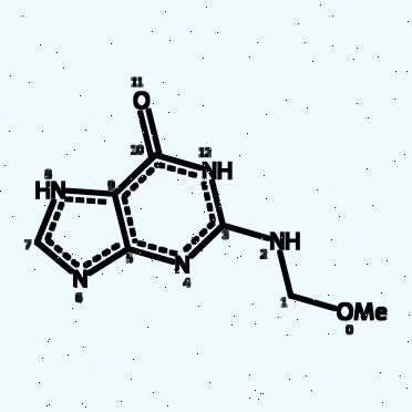 COCNc1nc2nc[nH]c2c(=O)[nH]1